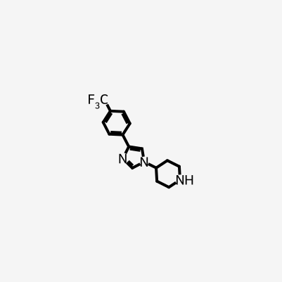 FC(F)(F)c1ccc(-c2cn(C3CCNCC3)cn2)cc1